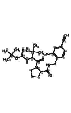 C#Cc1ccc(CNC(=O)C2CCCN2C(=O)C(NC(=O)OC(C)(C)C)C(C)(C)C)c(F)c1